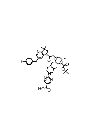 CC1CN(c2ncc(C(=O)O)cn2)CCN1C[C@H]1CN(C(=O)OC(C)(C)C)[C@H](C)CN1CC(=O)N1CC(C)(C)c2ncc(Cc3ccc(F)cc3)cc21